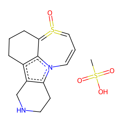 CS(=O)(=O)O.O=S1=CC=Cn2c3c(c4c2C=1CCC4)CNCC3